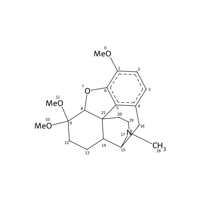 COc1ccc2c3c1OC1C(OC)(OC)CCC4C(C2)N(C)CCC341